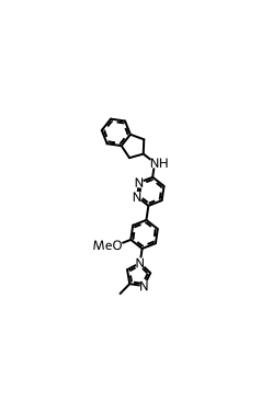 COc1cc(-c2ccc(NC3Cc4ccccc4C3)nn2)ccc1-n1cnc(C)c1